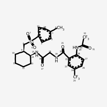 Cc1ccc(S(=O)(=O)C[C@@H]2CCCC[C@@H]2NC(=O)CNC(=O)c2cc(C(F)(F)F)ccc2NC(=O)C(F)(F)F)cc1